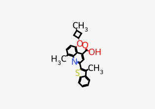 Cc1c(-c2cc(C(=O)O)c3c(O[C@H]4C[C@H](C)C4)ccc(C)c3n2)sc2ccccc12